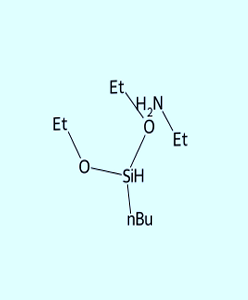 CCCC[SiH](OCC)OCC.CCN